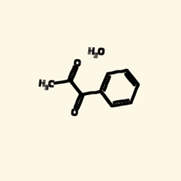 CC(=O)C(=O)c1ccccc1.O